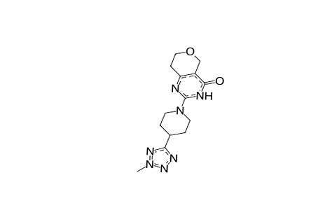 Cn1nnc(C2CCN(c3nc4c(c(=O)[nH]3)COCC4)CC2)n1